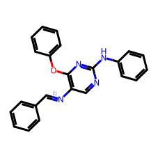 C(=N\c1cnc(Nc2ccccc2)nc1Oc1ccccc1)/c1ccccc1